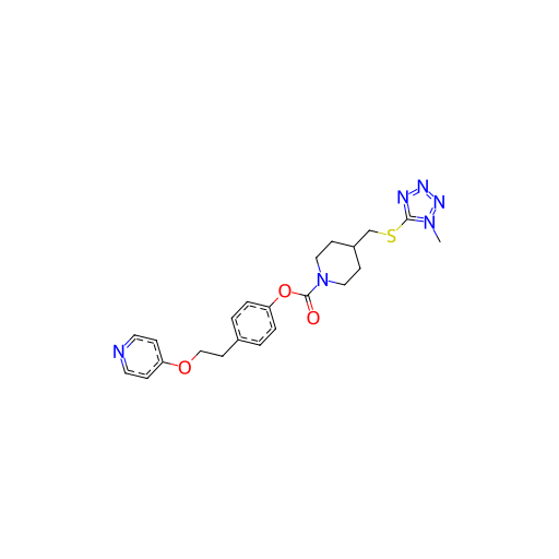 Cn1nnnc1SCC1CCN(C(=O)Oc2ccc(CCOc3ccncc3)cc2)CC1